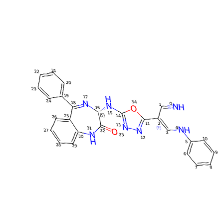 N=C/C(=C\Nc1ccccc1)c1nnc(N[C@H]2N=C(c3ccccc3)c3ccccc3NC2=O)o1